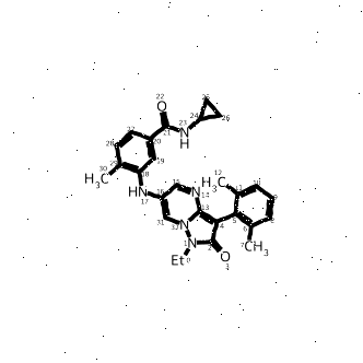 CCn1c(=O)c(-c2c(C)cccc2C)c2ncc(Nc3cc(C(=O)NC4CC4)ccc3C)cn21